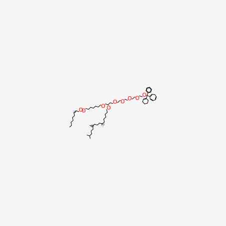 CCCCCC/C=C\COOCCCCCCCOCC(CCOCCOCCOCCOCCOC(C1=CCC=CC=C1)(C1=CCCCC1)c1ccccc1)OCCCCCC[C@H](C)CCC[C@H](C)CCCC(C)C